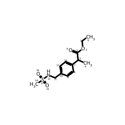 CCOC(=O)C(C)c1ccc(CNS(C)(=O)=O)cc1